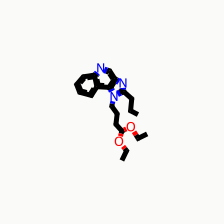 CCCc1nc2cnc3ccccc3c2n1CCCC(OCC)OCC